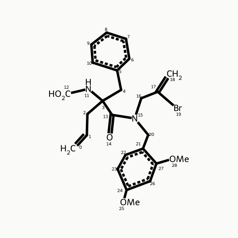 C=CCC(Cc1ccccc1)(NC(=O)O)C(=O)N(CC(=C)Br)Cc1ccc(OC)cc1OC